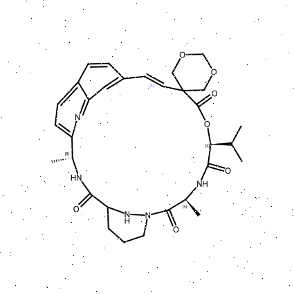 CC(C)[C@@H]1OC(=O)C2(/C=C/c3ccc4ccc(nc4c3)[C@@H](C)NC(=O)C3CCCN(N3)C(=O)[C@H](C)NC1=O)COCOC2